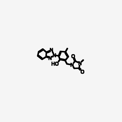 Cc1cc(CN2CC(=O)N(C)C2=O)c(O)c(-n2nc3ccccc3n2)c1